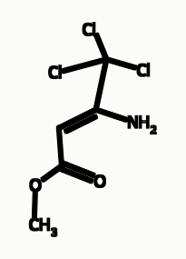 COC(=O)C=C(N)C(Cl)(Cl)Cl